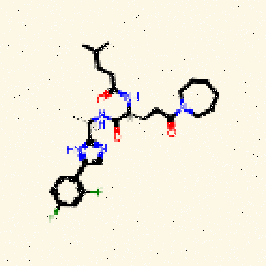 CC(C)CCC(=O)N[C@@H](CCC(=O)N1CCCCCC1)C(=O)N[C@@H](C)c1ncc(-c2ccc(F)cc2F)[nH]1